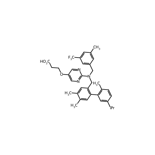 Cc1cc(CN(Cc2cc(C)c(C)cc2-c2cc(C(C)C)ccc2C)c2ncc(OCCC(=O)O)cn2)cc(C(F)(F)F)c1